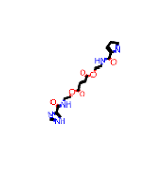 O=C(/C=C/C(=O)OCCNC(=O)c1c[nH]cn1)OCCNC(=O)C1=CCC=N1